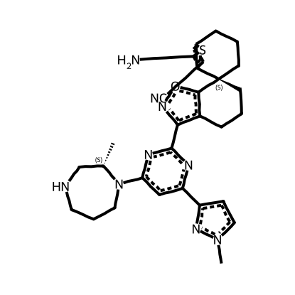 C[C@H]1CNCCCN1c1cc(-c2ccn(C)n2)nc(-c2noc3c2CCC[C@@]32CCCc3sc(N)c(C#N)c32)n1